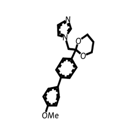 COc1ccc(-c2ccc(C3(Cn4ccnc4)OCCCO3)cc2)cc1